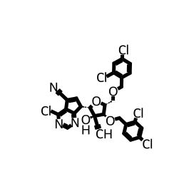 C#C[C@@]1(O)[C@H](OCc2ccc(Cl)cc2Cl)[C@@H](COCc2ccc(Cl)cc2Cl)O[C@H]1C1C=C(C#N)c2c(Cl)ncnc21